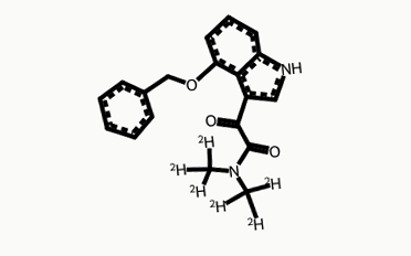 [2H]C([2H])([2H])N(C(=O)C(=O)c1c[nH]c2cccc(OCc3ccccc3)c12)C([2H])([2H])[2H]